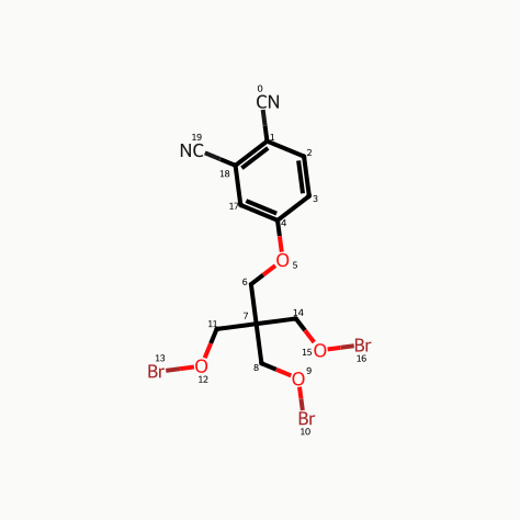 N#Cc1ccc(OCC(COBr)(COBr)COBr)cc1C#N